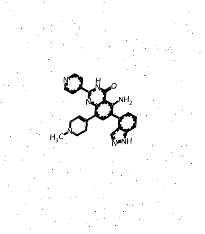 CN1CC=C(c2cc(-c3cccc4[nH]ncc34)c(N)c3c(=O)[nH]c(-c4ccncc4)nc23)CC1